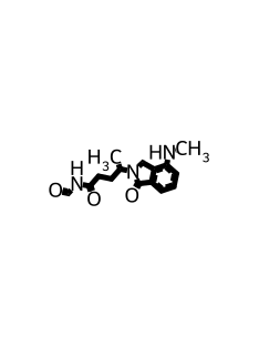 CNc1cccc2c1CN(C(C)CCC(=O)NC=O)C2=O